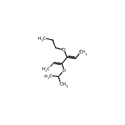 CC=C(OCCC)C(=CC)OC(C)C